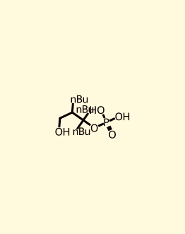 CCCCC(CO)C(CCCC)(CCCC)OP(=O)(O)O